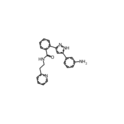 Nc1cccc(-c2cc(-c3ccccc3C(=O)NCCc3ccccn3)n[nH]2)c1